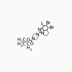 CC(C)(C)OC(=O)N1CCN(c2nc3c(I)c(Br)c(Br)c4c3n2CCC4)CC1